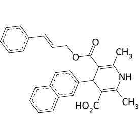 CC1=C(C(=O)O)C(c2ccc3ccccc3c2)C(C(=O)OCC=Cc2ccccc2)=C(C)N1